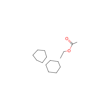 C1CCCCC1.C1CCCCC1.CCOC(C)=O